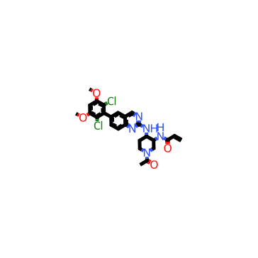 C=CC(=O)NC1CN(C(C)=O)CCC1Nc1ncc2cc(-c3c(Cl)c(OC)cc(OC)c3Cl)ccc2n1